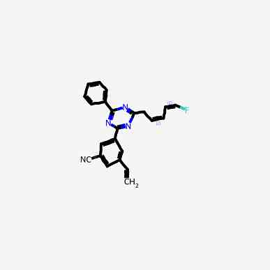 C=Cc1cc(C#N)cc(-c2nc(C/C=C\C=C/F)nc(-c3ccccc3)n2)c1